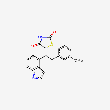 COc1cccc(CC(=C2SC(=O)NC2=O)c2cccc3[nH]ccc23)c1